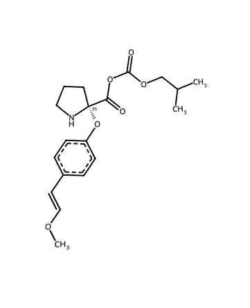 COC=Cc1ccc(O[C@@]2(C(=O)OC(=O)OCC(C)C)CCCN2)cc1